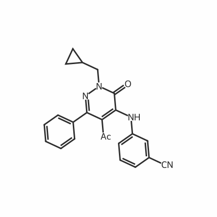 CC(=O)c1c(-c2ccccc2)nn(CC2CC2)c(=O)c1Nc1cccc(C#N)c1